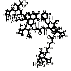 CCCCc1c(/C(C)=C/C2=C(C(C)=O)COC(=C3CCC3)[C@@H]2CC)nc2cc(F)c(C)c3c2c1[C@@H](NC(=C1CCC1)C(OCNC(=O)CNC(=C1CCC1)[C@H](Cc1ccccc1)NC(=O)CNC(CNC(=O)CCCCCN1C(=O)CC(CC)(CC)C1=C1CCC1)=C1CCC1)C1CC1)CC3